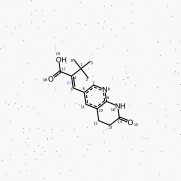 CC(C)(C)/C(=C\c1cnc2c(c1)CCC(=O)N2)C(=O)O